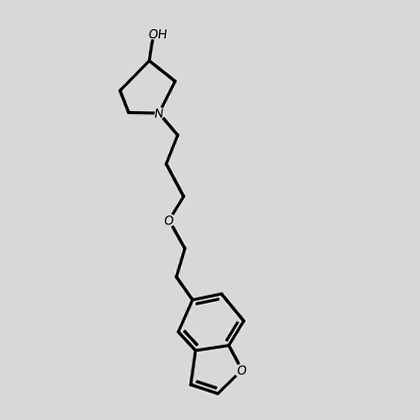 OC1CCN(CCCOCCc2ccc3occc3c2)C1